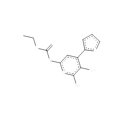 CCOC(=O)Nc1cc(-c2cccs2)c(N)c(N)n1